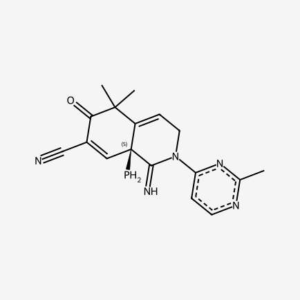 Cc1nccc(N2CC=C3C(C)(C)C(=O)C(C#N)=C[C@@]3(P)C2=N)n1